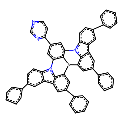 c1ccc(-c2ccc3c(c2)c2cc(-c4ccccc4)cc4c2n3-c2cc(-c3ccncn3)cc3c2B4c2cc(-c4ccccc4)cc4c5cc(-c6ccccc6)ccc5n-3c24)cc1